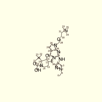 CCn1cc(Nc2nc(OC3C(F)CCN(C(=O)O)C3C(C)(C)C)c3ccn(COCC[Si](C)(C)C)c3n2)cn1